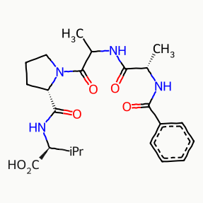 CC(NC(=O)[C@H](C)NC(=O)c1ccccc1)C(=O)N1CCC[C@H]1C(=O)N[C@H](C(=O)O)C(C)C